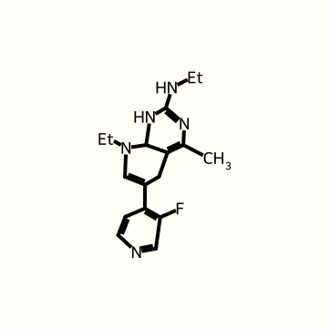 CCNC1=NC(C)=C2CC(c3ccncc3F)=CN(CC)C2N1